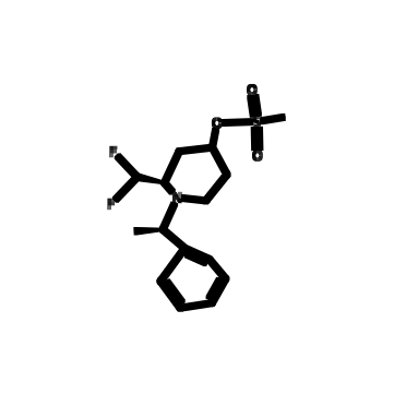 C[C@H](c1ccccc1)N1CCC(OS(C)(=O)=O)C[C@@H]1C(F)F